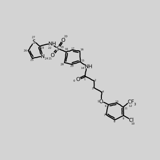 O=C(CCCOc1ccc(Cl)c(C(F)(F)F)c1)Nc1ccc(S(=O)(=O)Nc2nccs2)cc1